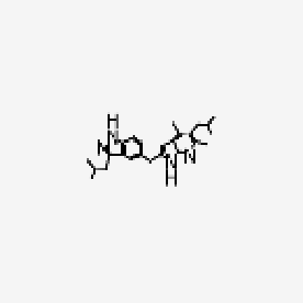 Cc1nc2[nH]c(Cc3ccc4[nH]nc(CC(C)C)c4c3)cc2c(C)c1CC(C)C